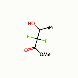 COC(=O)C(F)(F)C(O)C(C)C